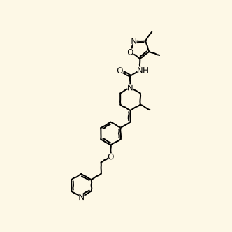 Cc1noc(NC(=O)N2CCC(=Cc3cccc(OCCc4cccnc4)c3)C(C)C2)c1C